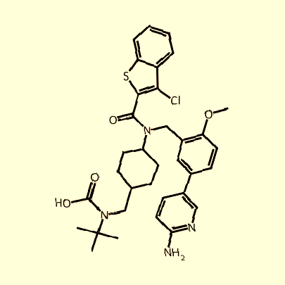 COc1ccc(-c2ccc(N)nc2)cc1CN(C(=O)c1sc2ccccc2c1Cl)C1CCC(CN(C(=O)O)C(C)(C)C)CC1